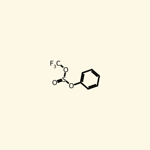 O=S(Oc1ccccc1)OC(F)(F)F